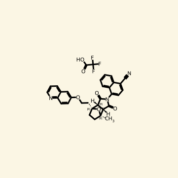 C[C@]12CC[C@](CCOc3ccc4ncccc4c3)(O1)[C@@H]1C(=O)N(c3ccc(C#N)c4ccccc34)C(=O)[C@@H]12.O=C(O)C(F)(F)F